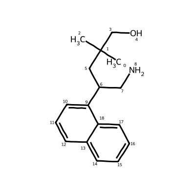 CC(C)(CO)CC(CN)c1cccc2ccccc12